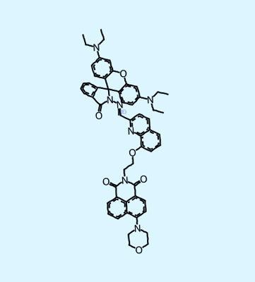 CCN(CC)c1ccc2c(c1)Oc1cc(N(CC)CC)ccc1C21c2ccccc2C(=O)N1/N=C/c1ccc2cccc(OCCN3C(=O)c4cccc5c(N6CCOCC6)ccc(c45)C3=O)c2n1